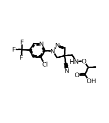 CC(ONCC1(C#N)C=NN(c2ncc(C(F)(F)F)cc2Cl)C1)C(=O)O